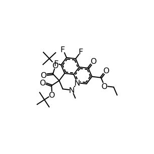 CCOC(=O)c1cn2c3c(c(F)c(F)c(F)c3c1=O)C(C(=O)OC(C)(C)C)(C(=O)OC(C)(C)C)CN2C